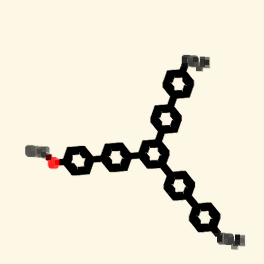 O=COc1ccc(-c2ccc(-c3cc(-c4ccc(-c5ccc(C(=O)O)cc5)cc4)cc(-c4ccc(-c5ccc(C(=O)O)cc5)cc4)c3)cc2)cc1